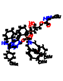 COc1ccc(CN(Cc2ccc(OC)cc2)S(=O)(=O)c2c(S(=O)(=O)C[C@@H](O)COC(=O)NC(C)(C)C)ccc(-c3cccc4[nH]c(N)nc34)c2-c2nnn(Cc3ccc(OC)cc3)n2)cc1